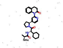 CN[C@@H](C)C(=O)N[C@H](C(=O)N1CCC[C@H]1c1ccnc(N2C(=O)CCc3ccccc32)c1)C1CCCCC1